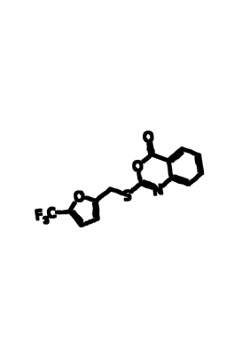 O=c1oc(SCc2ccc(C(F)(F)F)o2)nc2ccccc12